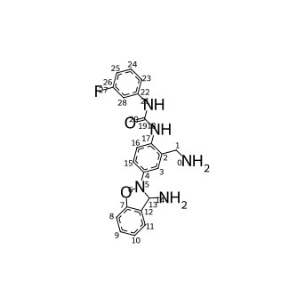 NCc1cc(N2Oc3ccccc3C2N)ccc1NC(=O)Nc1cccc(F)c1